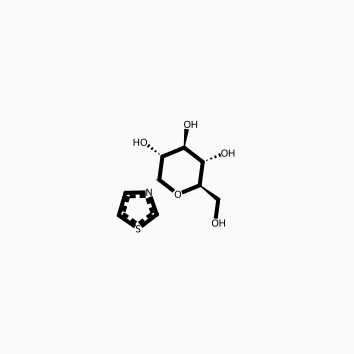 OC[C@H]1O[CH][C@H](O)[C@@H](O)[C@@H]1O.c1cscn1